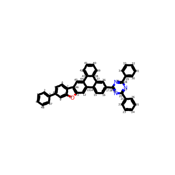 c1ccc(-c2ccc3c(c2)oc2cc4c5ccc(-c6nc(-c7ccccc7)nc(-c7ccccc7)n6)cc5c5ccccc5c4cc23)cc1